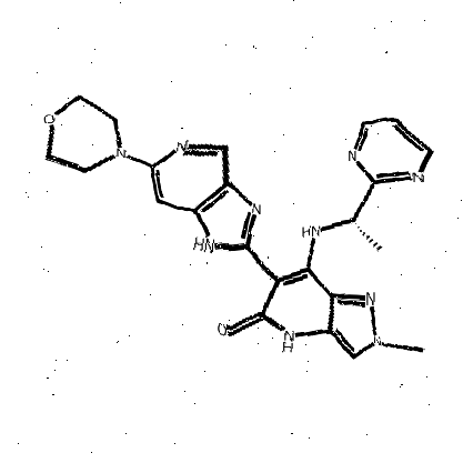 C[C@H](Nc1c(-c2nc3cnc(N4CCOCC4)cc3[nH]2)c(=O)[nH]c2cn(C)nc12)c1ncccn1